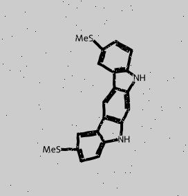 CSc1ccc2[nH]c3cc4[nH]c5ccc(SC)cc5c4cc3c2c1